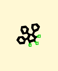 Clc1c(Cl)c(-c2ccccc2)c(-c2ccccc2)c(-c2ccccc2)c1Cl